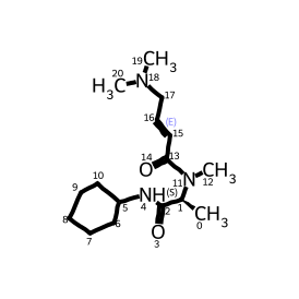 C[C@@H](C(=O)NC1CCCCC1)N(C)C(=O)/C=C/CN(C)C